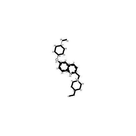 CCC1CCN(Cc2ccc3cc(O[C@H]4CC[C@@H](CC)CC4)ccc3n2)CC1